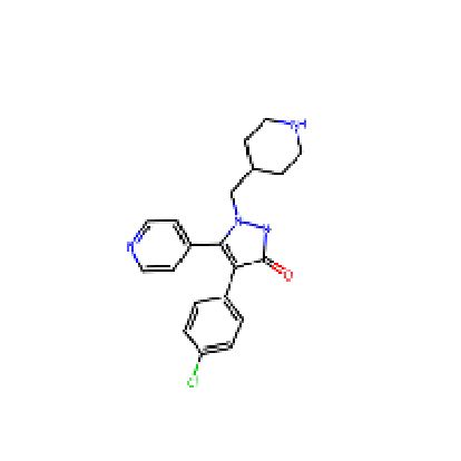 O=C1[N]N(CC2CCNCC2)C(c2ccncc2)=C1c1ccc(Cl)cc1